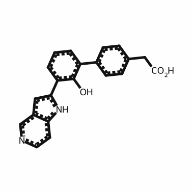 O=C(O)Cc1ccc(-c2cccc(-c3cc4cnccc4[nH]3)c2O)cc1